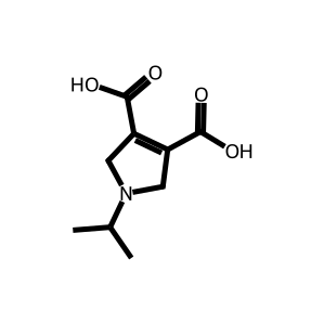 CC(C)N1CC(C(=O)O)=C(C(=O)O)C1